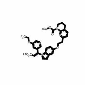 CCOC(=O)/C=C(\c1cncc(OCC(F)(F)F)c1)n1ccc2cc(OCCc3ccc4c(n3)N(C(=O)OC(C)(C)C)CCC4)ccc21